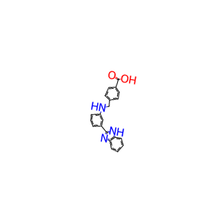 O=C(O)c1ccc(CNc2cccc(-c3nc4ccccc4[nH]3)c2)cc1